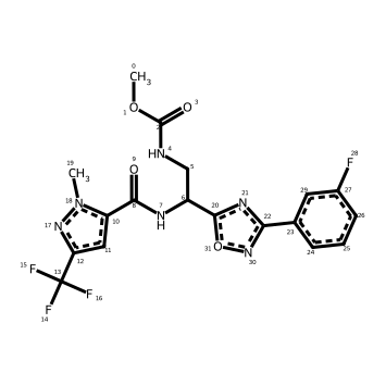 COC(=O)NCC(NC(=O)c1cc(C(F)(F)F)nn1C)c1nc(-c2cccc(F)c2)no1